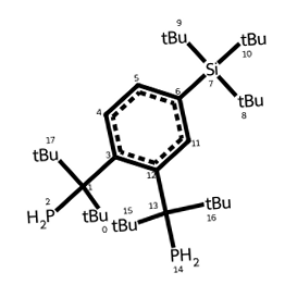 CC(C)(C)C(P)(c1ccc([Si](C(C)(C)C)(C(C)(C)C)C(C)(C)C)cc1C(P)(C(C)(C)C)C(C)(C)C)C(C)(C)C